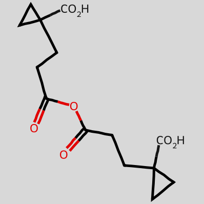 O=C(CCC1(C(=O)O)CC1)OC(=O)CCC1(C(=O)O)CC1